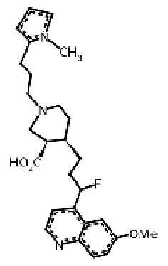 COc1ccc2nccc(C(F)CC[C@@H]3CCN(CCCc4cccn4C)C[C@@H]3C(=O)O)c2c1